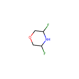 FC1COCC(F)N1